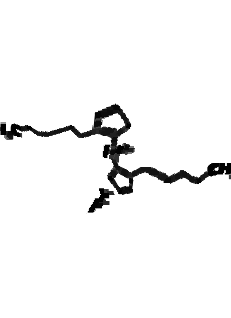 CCCCCC1=[C]([Hf+2][C]2=C(CCCCC)C=CC2)CC=C1.[F-].[F-]